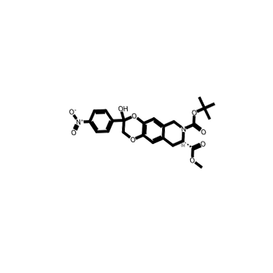 COC(=O)[C@@H]1Cc2cc3c(cc2CN1C(=O)OC(C)(C)C)OC(O)(c1ccc([N+](=O)[O-])cc1)CO3